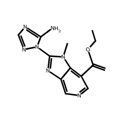 C=C(OCC)c1cncc2nc(-n3ncnc3N)n(C)c12